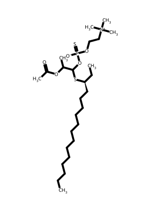 CCCCCCCCCCCCC[C@H](CC)SC(OP([O-])(=S)OCC[N+](C)(C)C)C(C)OC(C)=O